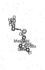 COc1cc(C(=O)N2CCCC[C@@H]2CCC#Cc2cccc3c2CN([C@H]2CCC(=O)NC2=O)C3=O)ccc1NC(=O)[C@@H]1N[C@@H](CC(C)(C)C)[C@@]2(CNc3cc(Cl)ccc32)[C@H]1c1cccc(Cl)c1F